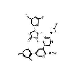 COc1ncc(-c2ccc(C)cc2C)cc1-c1cnc(N2CC(F)C2)nc1CN1C(=O)O[C@H](c2cc(F)cc(F)c2)[C@@H]1C